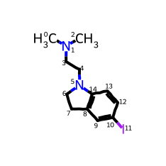 CN(C)CCN1CCc2cc(I)ccc21